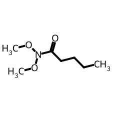 CCCCC(=O)N(OC)OC